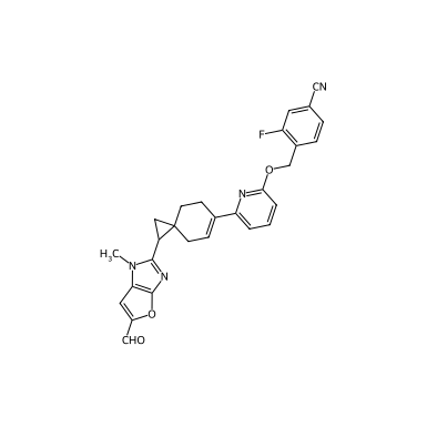 Cn1c(C2CC23CC=C(c2cccc(OCc4ccc(C#N)cc4F)n2)CC3)nc2oc(C=O)cc21